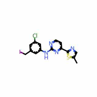 Cc1cnc(-c2ccnc(Nc3cc(Cl)cc(CI)c3)n2)s1